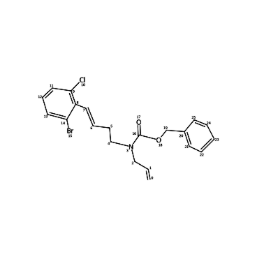 C=CCN(CCC=Cc1c(Cl)cccc1Br)C(=O)OCc1ccccc1